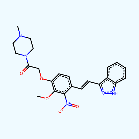 COc1c(OCC(=O)N2CCN(C)CC2)ccc(C=Cc2n[nH]c3ccccc23)c1[N+](=O)[O-]